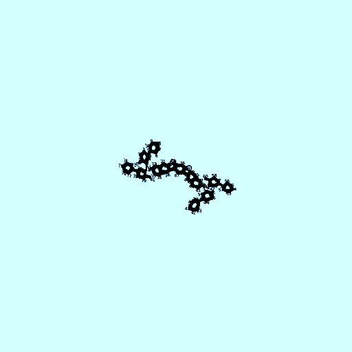 Cc1ccc(-c2ccccc2)cc1N(c1ccc2cc3c(cc2c1)oc1cc2oc4cc5cc(N(c6cc(-c7ccccc7)ccc6C)c6cc(-c7ccccc7)ccc6C)ccc5cc4c2cc13)c1cc(-c2ccccc2)ccc1C